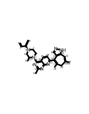 C=CC(=C)N1CCN(c2nc(C)nc3nc(C4=C(C)CC(F)=Cc5[nH]ncc54)ccc23)C(C)C1